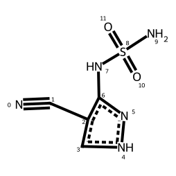 N#Cc1c[nH]nc1NS(N)(=O)=O